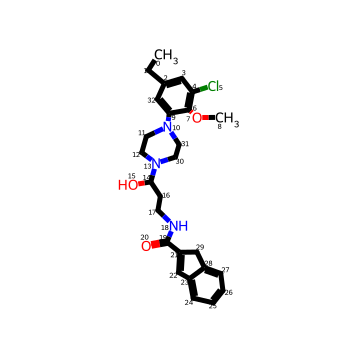 CCc1cc(Cl)c(OC)c(N2CCN(C(O)CCNC(=O)C3=Cc4ccccc4C3)CC2)c1